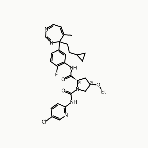 CCO[C@@H]1C[C@H](C(=O)Nc2cc(C3(CCC4CC4)N=CN=CC=C3C)ccc2F)N(C(=O)Nc2ccc(Cl)cn2)C1